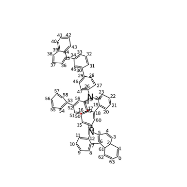 C1=CC2C=Cc3c(c4ccccc4n3-c3cccc(-c4ccccc4N(c4ccc(-c5cccc(-c6cccc7ccccc67)c5)cc4)c4cccc(-c5ccccc5)c4)c3)C2C=C1